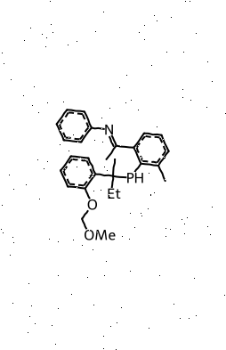 CCC(C)(Pc1c(C)cccc1/C(C)=N/c1ccccc1)c1ccccc1OCOC